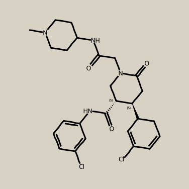 CN1CCC(NC(=O)CN2C[C@@H](C(=O)Nc3cccc(Cl)c3)[C@H](C3C=C(Cl)C=CC3)CC2=O)CC1